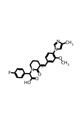 COc1cc(/C=C2\CCCN(C(C(=O)O)c3ccc(F)cc3)C2=O)ccc1-n1cnc(C)c1